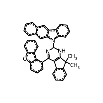 CC1(C)C2=C(C(c3cccc4oc5ccccc5c34)=NC(n3c4ccccc4c4cc5ccccc5cc43)N2)c2ccccc21